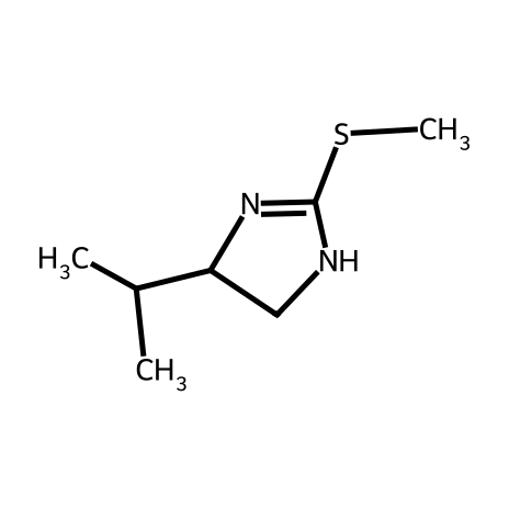 CSC1=NC(C(C)C)CN1